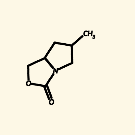 CC1CC2COC(=O)N2C1